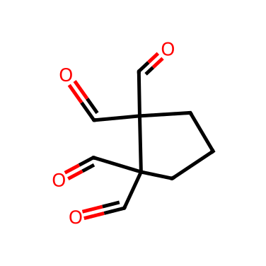 O=CC1(C=O)CCCC1(C=O)C=O